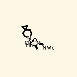 C=C(/N=C\NC)NS(=O)(=O)N1CCC2(CC1)CC2